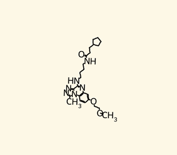 COCCOc1ccc2c(c1)nc(NCCCCNC(=O)CCC1CCCC1)c1nnc(C)n12